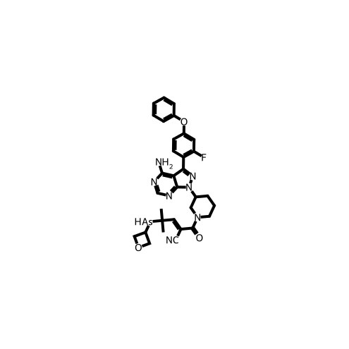 CC(C)(C=C(C#N)C(=O)N1CCCC(n2nc(-c3ccc(Oc4ccccc4)cc3F)c3c(N)ncnc32)C1)[AsH]C1COC1